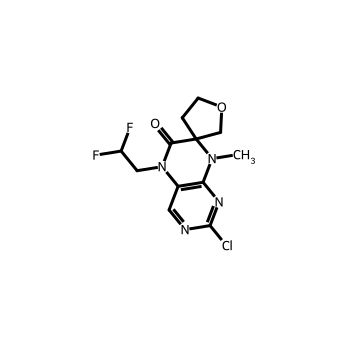 CN1c2nc(Cl)ncc2N(CC(F)F)C(=O)C12CCOC2